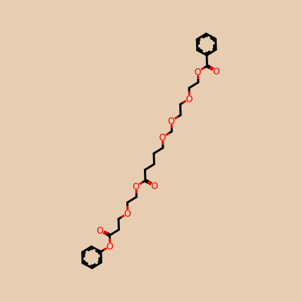 O=C(CCCCOCOCCOCCOC(=O)c1ccccc1)OCCOCCC(=O)Oc1ccccc1